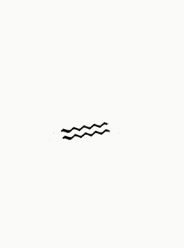 CCCCCCCCC=CCCCCCCCC(=O)[O-].CCCCCCCCC=CCCCCCCCC(=O)[O-].[Zn+2]